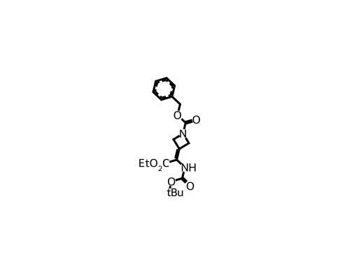 CCOC(=O)C(NC(=O)OC(C)(C)C)=C1CN(C(=O)OCc2ccccc2)C1